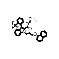 CCOC(=O)c1c(-c2ccccc2C(F)(F)F)c2ccccc2n1CCCOc1cccc2ccccc12